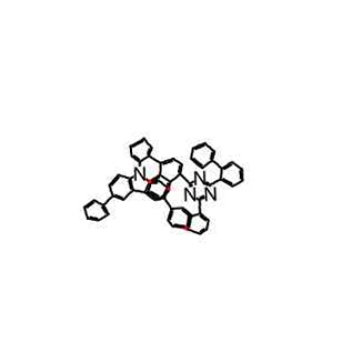 c1ccc(-c2ccc3c(c2)c2cc(-c4ccccc4)ccc2n3-c2ccccc2-c2ccc(-c3nc(-c4ccccc4)nc(-c4ccccc4-c4ccccc4)n3)c3ccccc23)cc1